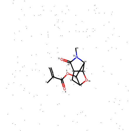 C=C(C)C(=O)OC1C2CC3C(=O)N(C)C1C3O2